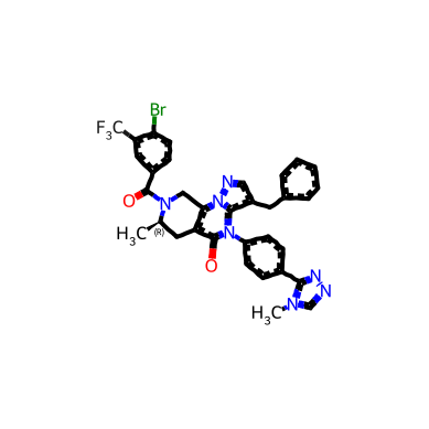 C[C@@H]1Cc2c(n3ncc(Cc4ccccc4)c3n(-c3ccc(-c4nncn4C)cc3)c2=O)CN1C(=O)c1ccc(Br)c(C(F)(F)F)c1